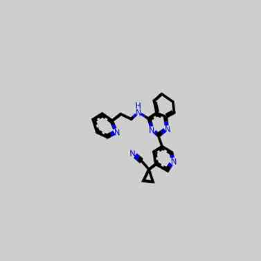 N#CC1(c2cncc(-c3nc(NCCc4ccccn4)c4c(n3)=CCCC=4)c2)CC1